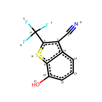 N#Cc1c(C(F)(F)F)sc2c(O)cccc12